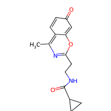 Cc1nc(CCNC(=O)C2CC2)oc2cc(=O)ccc1-2